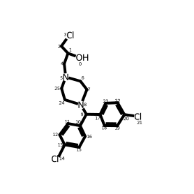 OC(CCl)CN1CCN(C(c2ccc(Cl)cc2)c2ccc(Cl)cc2)CC1